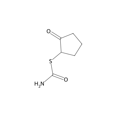 NC(=O)SC1CCCC1=O